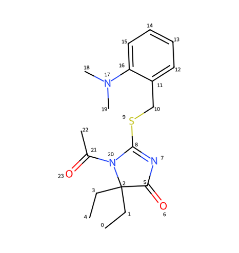 CCC1(CC)C(=O)N=C(SCc2ccccc2N(C)C)N1C(C)=O